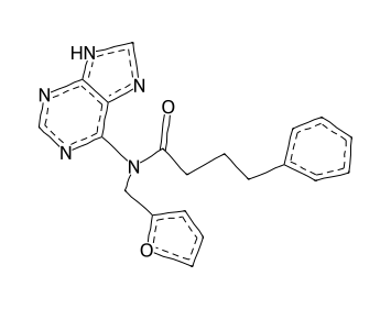 O=C(CCCc1ccccc1)N(Cc1ccco1)c1ncnc2[nH]cnc12